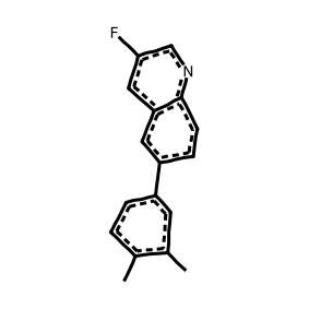 Cc1ccc(-c2ccc3ncc(F)cc3c2)cc1C